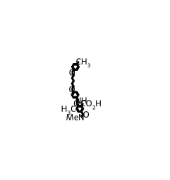 CNC(=O)c1cc(C)c(ONc2ccc(OCCCCCOc3ccc(C)cc3)cc2)c(C(=O)O)c1